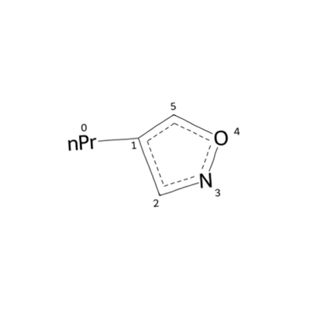 CCCc1cnoc1